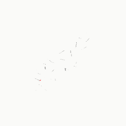 CN(c1ccc(-c2ccc(-c3ccc(=O)n(C)c3)c3cn[nH]c23)nn1)C1CC2CCC(C1)N2C(=O)OC(C)(C)C